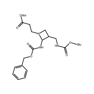 COC(=O)CCN1CC(CNC(=O)OC(C)(C)C)C1NC(=O)OCc1ccccc1